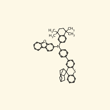 CC1(C)CCC(C)(C)c2cc(N(c3ccc(-c4ccc5c(c4)C4(c6ccccc6S5)C5CC6CC(C5)C4C6)cc3)c3ccc4c(c3)oc3ccccc34)ccc21